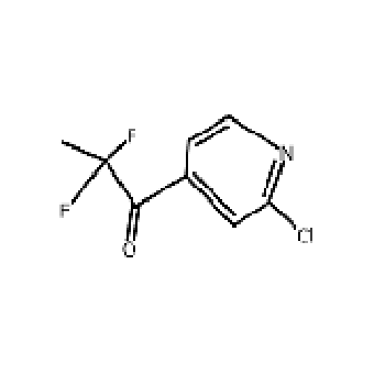 CC(F)(F)C(=O)c1ccnc(Cl)c1